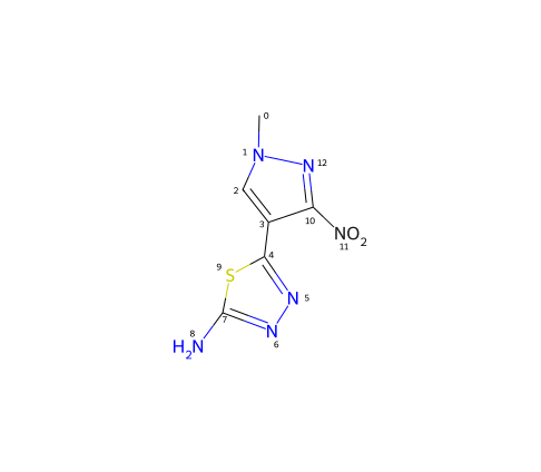 Cn1cc(-c2nnc(N)s2)c([N+](=O)[O-])n1